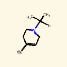 CCC(C)(C)N1CC=C(C(C)(C)C)CC1